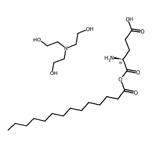 CCCCCCCCCCCCCC(=O)OC(=O)[C@@H](N)CCC(=O)O.OCCN(CCO)CCO